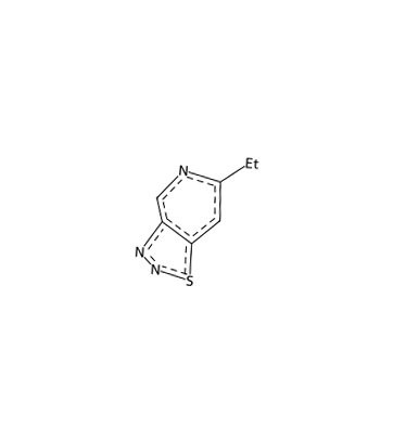 CCc1cc2snnc2cn1